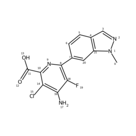 Cn1ncc2ccc(-c3nc(C(=O)O)c(Cl)c(N)c3F)cc21